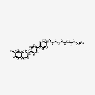 CNCCOCCOCCOc1ccc(-c2ccc(C3=Nc4cc(C)ccc4OC3)cc2)cn1